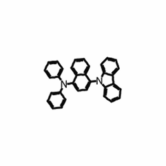 c1ccc(N(c2ccccc2)c2ccc(-n3c4ccccc4c4ccccc43)c3ccccc23)cc1